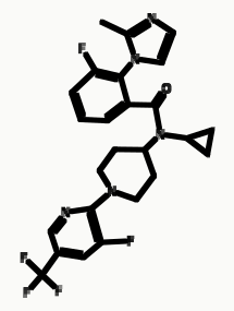 Cc1nccn1-c1c(F)cccc1C(=O)N(C1CC1)C1CCN(c2ncc(C(F)(F)F)cc2F)CC1